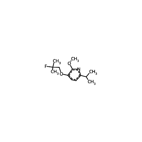 COc1nc(C(C)C)ccc1OCC(C)(C)F